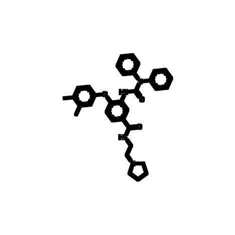 Cc1ccc(Oc2ccc(C(=O)NCCN3CCCC3)cc2NC(=O)N(c2ccccc2)c2ccccc2)cc1C